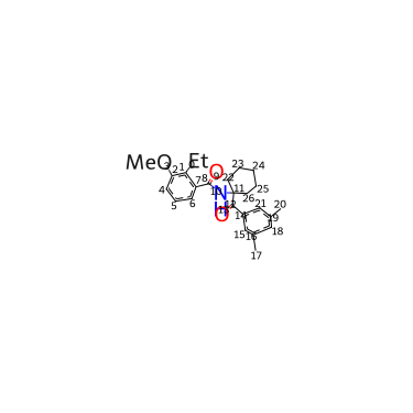 CCc1c(OC)cccc1C(=O)NC1(C(=O)c2cc(C)cc(C)c2)CCCCC1